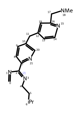 C=N/C(=N\CCC(C)C)c1ccc(Cc2ccnc(CNC)c2)cn1